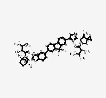 C=C1[C@@H](c2nc(-c3ccc4c(c3)C(F)(F)c3cc(-c5ccc6nc([C@@H]7[C@H]8CC[C@H](C8)N7C(=O)[C@@H](N)C(C)C)[nH]c6c5)ccc3-4)c[nH]2)N(C(=O)[C@@H](N)C(C)C)CC12CC2